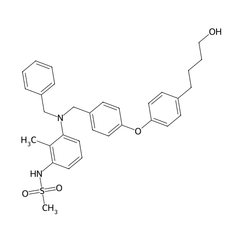 Cc1c(NS(C)(=O)=O)cccc1N(Cc1ccccc1)Cc1ccc(Oc2ccc(CCCCO)cc2)cc1